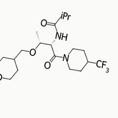 CC(C)C(=O)N[C@H](C(=O)N1CCC(C(F)(F)F)CC1)[C@@H](C)OCC1CCOCC1